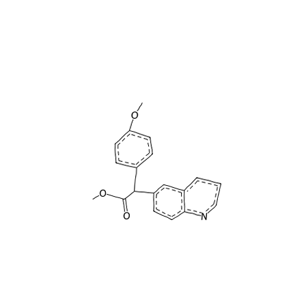 COC(=O)C(c1ccc(OC)cc1)c1ccc2ncccc2c1